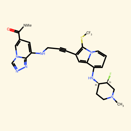 CNC(=O)c1cc(NCC#Cc2cc3c(N[C@@H]4CCN(C)C[C@@H]4F)cccn3c2SC(F)(F)F)c2nncn2c1